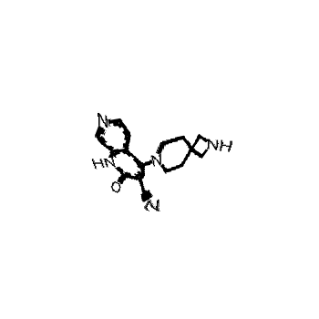 N#Cc1c(N2CCC3(CC2)CNC3)c2ccncc2[nH]c1=O